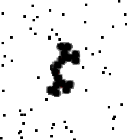 O=C(c1ccc(-c2ccc(-n3c4ccc(-n5c6ccccc6c6ccccc65)cc4c4cc(-n5c6ccccc6c6ccccc65)ccc43)nc2)cc1)c1ccc(-c2ccc(-n3c4ccc(-n5c6ccccc6c6ccccc65)cc4c4cc(-n5c6ccccc6c6ccccc65)ccc43)nc2)cc1